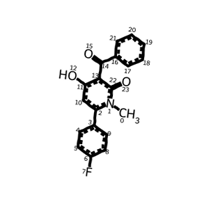 Cn1c(-c2ccc(F)cc2)cc(O)c(C(=O)c2ccccc2)c1=O